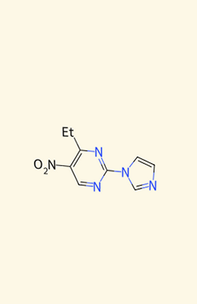 CCc1nc(-n2ccnc2)ncc1[N+](=O)[O-]